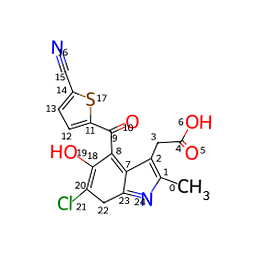 CC1=C(CC(=O)O)C2=C(C(=O)c3ccc(C#N)s3)C(O)=C(Cl)CC2=N1